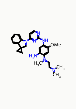 COc1cc(N(C)CCN(C)C)c(N)cc1Nc1nccc(N2CC3(CC3)c3ccccc32)n1